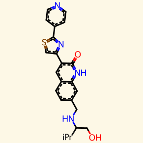 CC(C)C(CO)NCc1ccc2cc(-c3csc(-c4ccncc4)n3)c(=O)[nH]c2c1